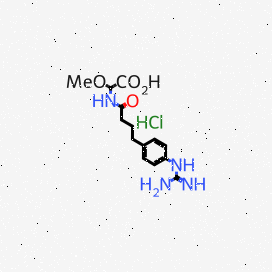 COC(NC(=O)CCCc1ccc(NC(=N)N)cc1)C(=O)O.Cl